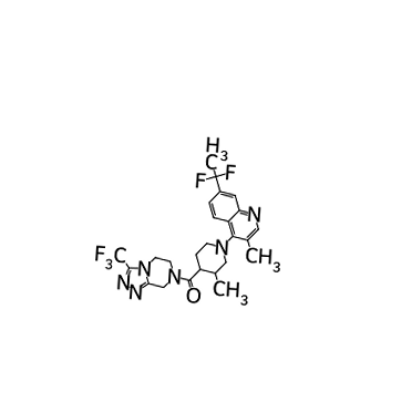 Cc1cnc2cc(C(C)(F)F)ccc2c1N1CCC(C(=O)N2CCn3c(nnc3C(F)(F)F)C2)C(C)C1